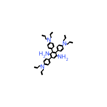 C=CCN(CC=C)c1ccc(-c2cc(N)c(-c3ccc(N(CC=C)CC=C)cc3)c(-c3ccc(N(CC=C)CC=C)cc3)c2N)cc1